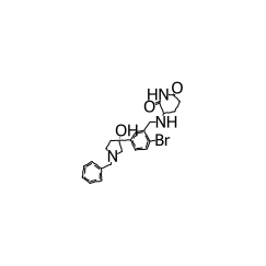 O=C1CCC(NCc2cc([C@]3(O)CCN(Cc4ccccc4)C3)ccc2Br)C(=O)N1